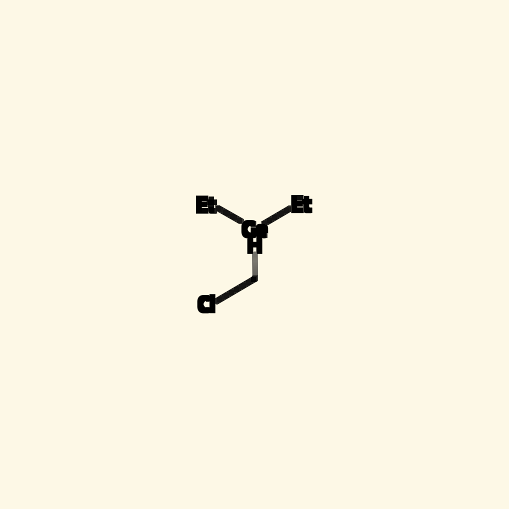 C[CH2][GeH]([CH2]C)[CH2]Cl